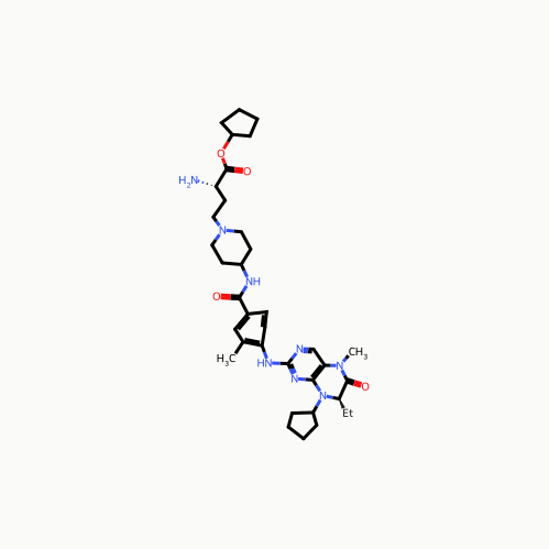 CC[C@@H]1C(=O)N(C)c2cnc(Nc3ccc(C(=O)NC4CCN(CC[C@H](N)C(=O)OC5CCCC5)CC4)cc3C)nc2N1C1CCCC1